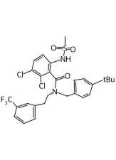 CC(C)(C)c1ccc(CN(CCc2cccc(C(F)(F)F)c2)C(=O)c2c(NS(C)(=O)=O)ccc(Cl)c2Cl)cc1